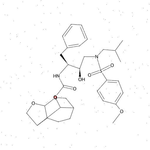 COc1ccc(S(=O)(=O)N(CC(C)C)C[C@@H](O)[C@H](Cc2ccccc2)NC(=O)OC2C3CCC4C(OC3)OCC42)cc1